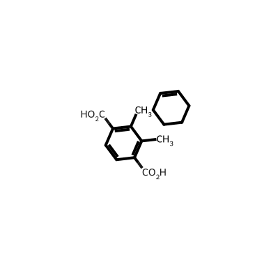 C1=CCCCC1.Cc1c(C(=O)O)ccc(C(=O)O)c1C